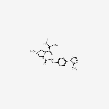 Cc1ncsc1-c1ccc(CNC(=O)[C@@H]2C[C@H](O)CN2C(=O)[C@@H](NI)C(C)(C)C)cc1